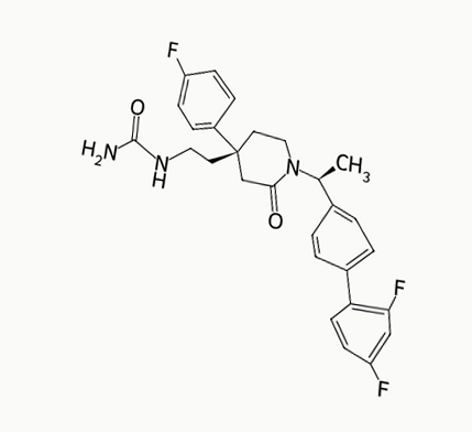 C[C@@H](c1ccc(-c2ccc(F)cc2F)cc1)N1CC[C@@](CCNC(N)=O)(c2ccc(F)cc2)CC1=O